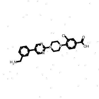 NCc1cccc(-c2cnc(N3CCN(c4ccc(C(=O)O)cc4Cl)CC3)nc2)c1